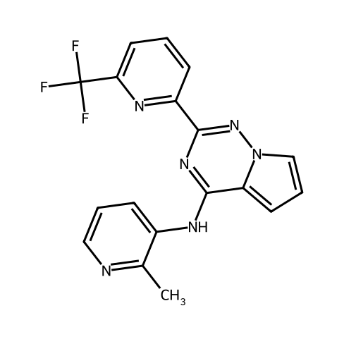 Cc1ncccc1Nc1nc(-c2cccc(C(F)(F)F)n2)nn2cccc12